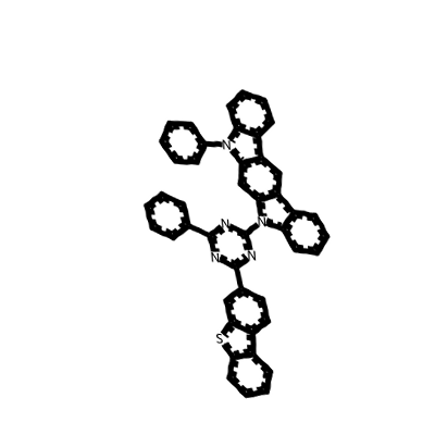 c1ccc(-c2nc(-c3ccc4c(c3)sc3ccccc34)nc(-n3c4ccccc4c4cc5c6ccccc6n(-c6ccccc6)c5cc43)n2)cc1